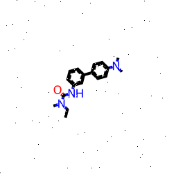 CCN(C)C(=O)Nc1cccc(-c2ccc(N(C)C)cc2)c1